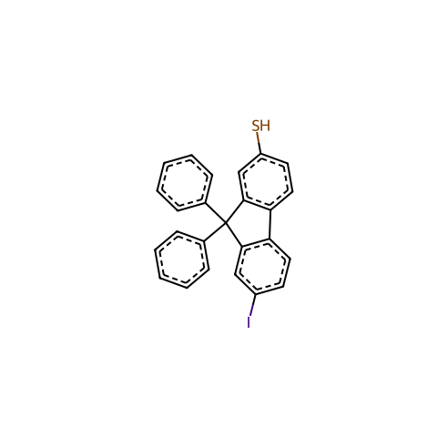 Sc1ccc2c(c1)C(c1ccccc1)(c1ccccc1)c1cc(I)ccc1-2